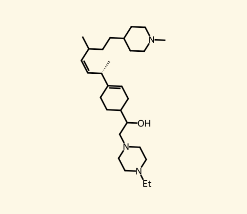 CCN1CCN(CC(O)C2CC=C([C@@H](C)/C=C\C(C)CCC3CCN(C)CC3)CC2)CC1